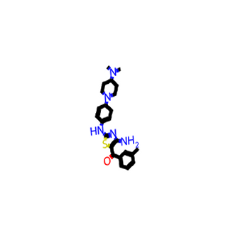 Cc1cccc(C(=O)c2sc(NC3=CCC(N4CCC(N(C)C)CC4)C=C3)nc2N)c1